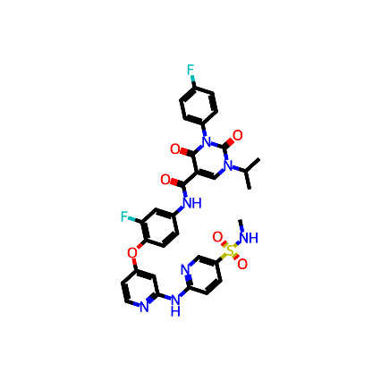 CNS(=O)(=O)c1ccc(Nc2cc(Oc3ccc(NC(=O)c4cn(C(C)C)c(=O)n(-c5ccc(F)cc5)c4=O)cc3F)ccn2)nc1